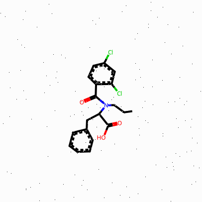 CCCN(C(=O)c1ccc(Cl)cc1Cl)C(Cc1ccccc1)C(=O)O